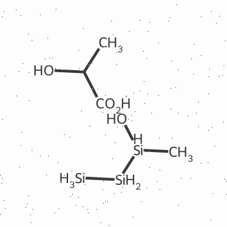 CC(O)C(=O)O.C[SiH](O)[SiH2][SiH3]